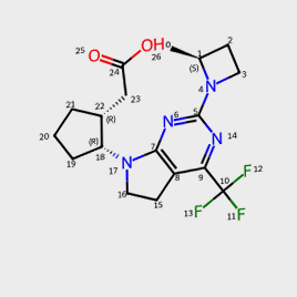 C[C@H]1CCN1c1nc2c(c(C(F)(F)F)n1)CCN2[C@@H]1CCC[C@@H]1CC(=O)O